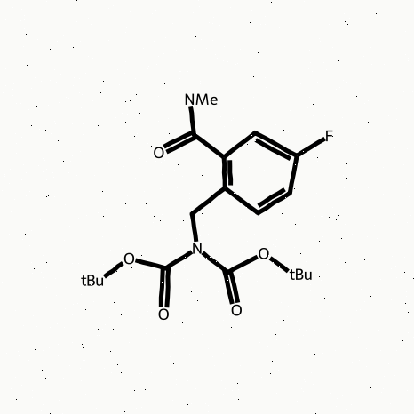 CNC(=O)c1cc(F)ccc1CN(C(=O)OC(C)(C)C)C(=O)OC(C)(C)C